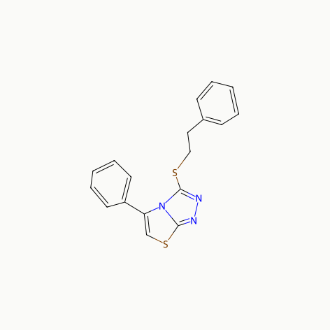 c1ccc(CCSc2nnc3scc(-c4ccccc4)n23)cc1